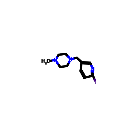 CN1CCN(Cc2ccc(I)nc2)CC1